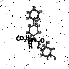 Cc1ccc(CC(=O)NC2CCC(c3ccccc3)CC2)c(C)c1.O=C(O)O